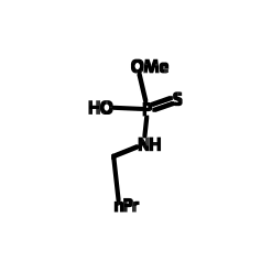 CCCCNP(O)(=S)OC